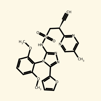 C#C[C@H](CS(=O)(=O)Nc1nnc(-c2ccco2)n1-c1c(OC)cccc1OC)c1ncc(C)cn1